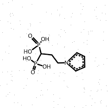 O=P(O)(O)C(CCn1cccc1)P(=O)(O)O